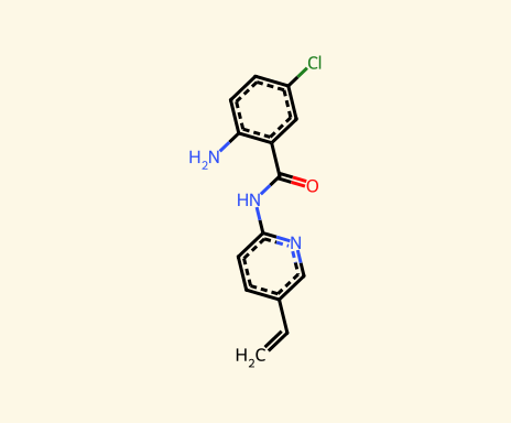 C=Cc1ccc(NC(=O)c2cc(Cl)ccc2N)nc1